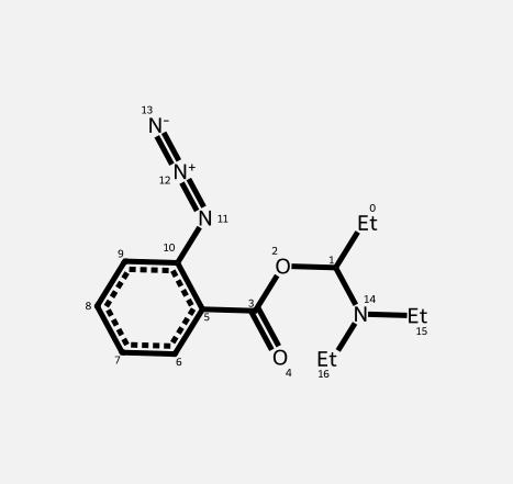 CCC(OC(=O)c1ccccc1N=[N+]=[N-])N(CC)CC